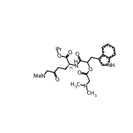 CNCC(=O)CC[C@H](NC(=O)C(Cc1c[nH]c2ccccc12)OC(=O)CN(C)C)C(=O)OC(C)C